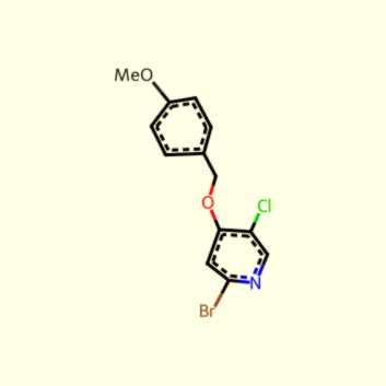 COc1ccc(COc2cc(Br)ncc2Cl)cc1